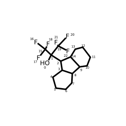 OC(C1C2CCCCC2C2CCCCC21)(C(F)(F)F)C(F)(F)F